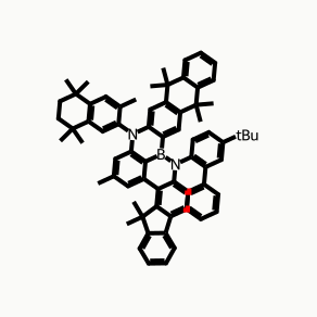 Cc1cc2c3c(c1)N(c1cc4c(cc1C)C(C)(C)CCC4(C)C)c1cc4c(cc1B3N(c1ccc(C(C)(C)C)cc1-c1ccccc1)c1ccc3c(c1-2)C(C)(C)c1ccccc1-3)C(C)(C)c1ccccc1C4(C)C